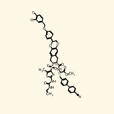 CCNC(=O)Nc1nc(S(=O)(=O)N2Cc3cc4c(cc3C[C@H]2C(=O)N[C@@H](Cc2ccc(-c3ccc(C#N)cc3)cc2)C(=O)OC)OCC(c2ccc(OCc3ccc(Cl)c(Cl)c3)cc2)O4)c(C)s1